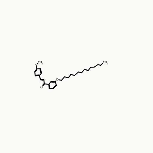 CCCCCCCCCCCCCCOc1cccc(C(=O)C=Cc2ccc(SC)cc2)c1